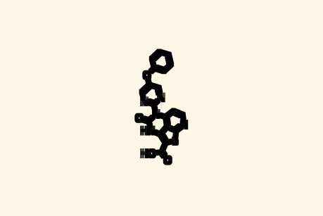 O=C(O)c1sc2nccc3c2c1NC(=O)N3c1ncc(Oc2ccccc2)cn1